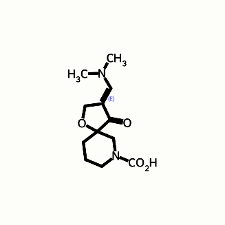 CN(C)/C=C1\COC2(CCCN(C(=O)O)C2)C1=O